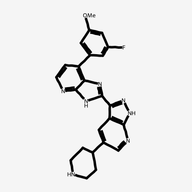 COc1cc(F)cc(-c2ccnc3[nH]c(-c4n[nH]c5ncc(C6CCNCC6)cc45)nc23)c1